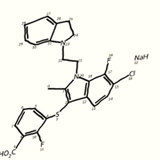 Cc1c(Sc2cccc(C(=O)O)c2F)c2ccc(Cl)c(F)c2n1CCN1CCc2ccccc21.[NaH]